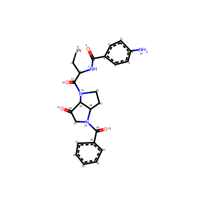 CC(C)CC(NC(=O)c1ccc(N)cc1)C(=O)N1CCC2C1C(=O)CN2C(=O)c1ccccc1